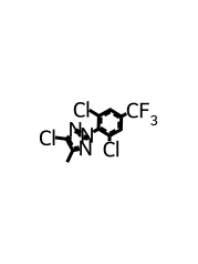 Cc1nn(-c2c(Cl)cc(C(F)(F)F)cc2Cl)nc1Cl